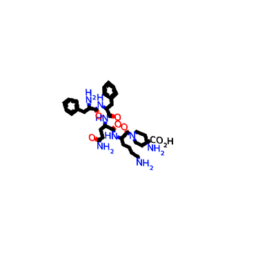 NCCCCC(NC(=O)C(CCC(N)=O)NC(=O)C(Cc1ccccc1)NC(=O)C(N)Cc1ccccc1)C(=O)N1CCC(N)(C(=O)O)CC1